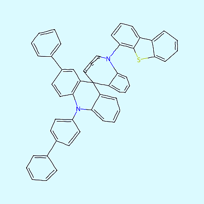 c1ccc(-c2ccc(N3c4ccccc4C4(c5cc(-c6ccccc6)ccc53)c3ccccc3N(c3cccc5c3sc3ccccc35)c3ccccc34)cc2)cc1